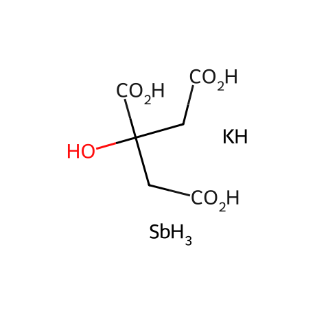 O=C(O)CC(O)(CC(=O)O)C(=O)O.[KH].[SbH3]